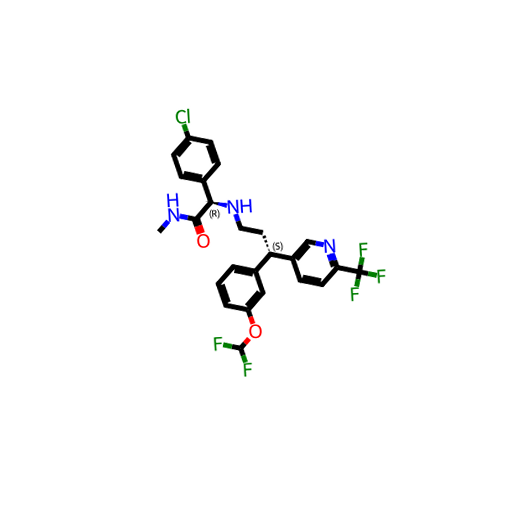 CNC(=O)[C@H](NCC[C@H](c1ccc(C(F)(F)F)nc1)c1cccc(OC(F)F)c1)c1ccc(Cl)cc1